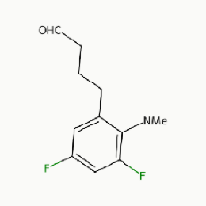 CNc1c(F)cc(F)cc1CCCC=O